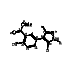 COC(=O)c1cc(-c2c(C)nn(C)c2C)ccc1F